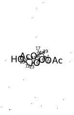 CC(=O)OCC1OC(Oc2ccc(CO)cc2)C(OC(C)=O)C(C)C1C